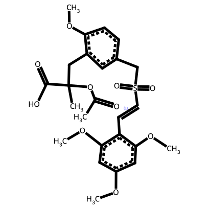 COc1cc(OC)c(/C=C/S(=O)(=O)Cc2ccc(OC)c(CC(C)(OC(C)=O)C(=O)O)c2)c(OC)c1